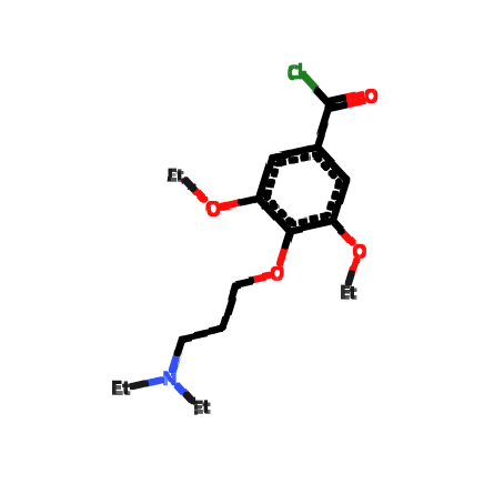 CCOc1cc(C(=O)Cl)cc(OCC)c1OCCCN(CC)CC